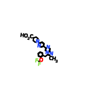 Cc1nc2cnc(-c3ccc(N4CCC(C(=O)O)CC4)nc3)cn2c1Cc1ccccc1OC(F)F